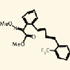 CO/N=C(/C(=O)OC)c1ccccc1/C=C/C=Cc1ccccc1C(F)(F)F